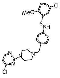 COc1ccc(Cl)cc1SNc1ccc(CN2CCN(c3nccc(Cl)n3)CC2)cc1